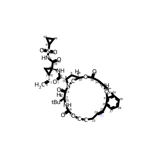 C=C[C@@H]1C[C@]1(NC(=O)[C@@H]1C[C@@H]2CN1C(=O)[C@H](C(C)(C)C)NC(=O)OCCC/C=C/c1cccc3c1CNC(C3)C(=O)O2)C(=O)NS(=O)(=O)C1CC1